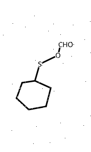 O=[C]OSC1CCCCC1